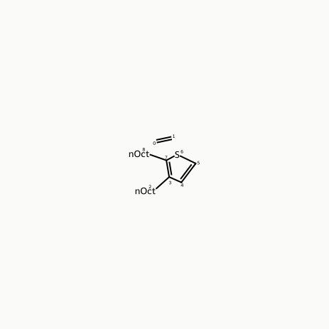 C=C.CCCCCCCCc1ccsc1CCCCCCCC